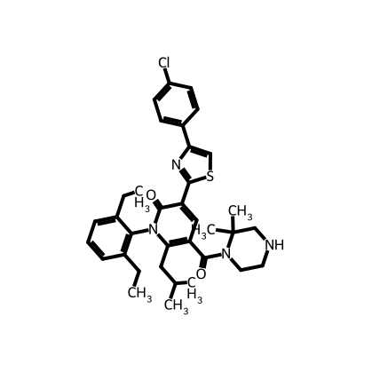 CCc1cccc(CC)c1-n1c(CC(C)C)c(C(=O)N2CCNCC2(C)C)cc(-c2nc(-c3ccc(Cl)cc3)cs2)c1=O